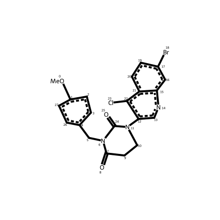 COc1ccc(CN2C(=O)CCN(c3cnc4cc(Br)ccc4c3Cl)C2=O)cc1